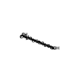 CCC(C)COCCOCCOCCOCCOCCOCCOCCOCCOCCOCCO